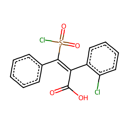 O=C(O)C(=C(c1ccccc1)S(=O)(=O)Cl)c1ccccc1Cl